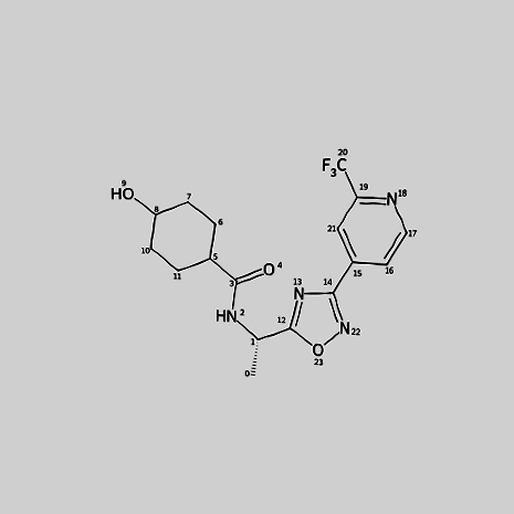 C[C@H](NC(=O)C1CCC(O)CC1)c1nc(-c2ccnc(C(F)(F)F)c2)no1